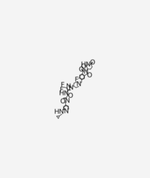 O=C1CCC(N2C(=O)c3cc(F)c(CN4CCC(n5cc(NC(=O)c6coc(-c7ccnc(NCC8CC8)c7)n6)c(C(F)F)n5)CC4)cc3C2=O)C(=O)N1